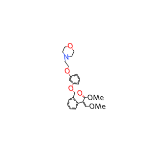 COC=C(C(=O)OC)c1ccccc1COc1cccc(OCCN2CCOCC2)c1